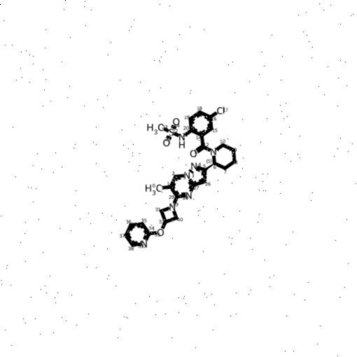 Cc1cn2nc([C@@H]3CCCCN3C(=O)c3cc(Cl)ccc3NS(C)(=O)=O)cc2nc1N1CC(Oc2ccccn2)C1